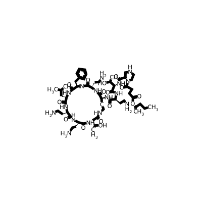 CCCC(C)OC(=O)CCC(=O)N1CCNCC1C(=O)N[C@H](C(=O)N[C@@H](CCN)C(=O)N[C@H]1CCNC(=O)[C@H](C(C)O)NC(=O)[C@H](CCN)NC(=O)[C@H](CCN)NC(=O)[C@H](CC(C)C)NC(=O)[C@@H](Cc2ccccc2)NC(=O)[C@H](CCN)NC1=O)C(C)O